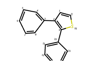 [c]1cc(-c2ccccc2)c(-c2ccccc2)s1